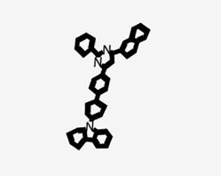 c1ccc(-c2nc(-c3ccc(-c4ccc(-n5c6ccccc6c6ccccc65)cc4)cc3)cc(-c3ccc4ccccc4c3)n2)cc1